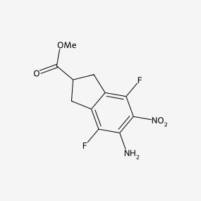 COC(=O)C1Cc2c(F)c(N)c([N+](=O)[O-])c(F)c2C1